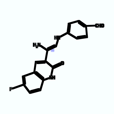 N/C(=C\Nc1ccc(C=O)cc1)c1cc2cc(F)ccc2[nH]c1=O